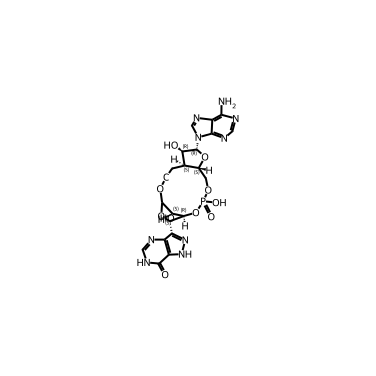 Nc1ncnc2c1ncn2[C@@H]1O[C@@H]2COP(=O)(O)O[C@@H]3[C@H](O)C(OCC[C@H]2[C@H]1O)O[C@H]3c1n[nH]c2c(=O)[nH]cnc12